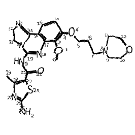 COc1c(OCCCN2CCOCC2)ccc2c1N=C(NC(=O)c1sc(N)nc1C)N1CCN=C21